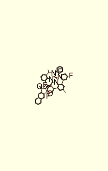 Cc1cc(-c2cc(F)cc(F)c2)c(N2/C(=C/C=C3C(=O)c4cc5ccccc5cc4C3=O)N(c3c(C(C)C)cccc3C(C)C)c3nc4ccccc4nc32)c(-c2cc(F)cc(F)c2)c1